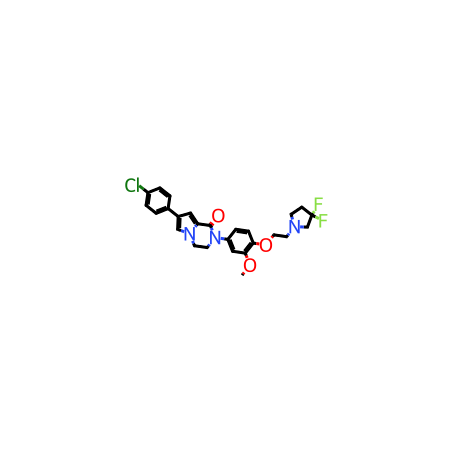 COc1cc(N2CCn3cc(-c4ccc(Cl)cc4)cc3C2=O)ccc1OCCN1CCC(F)(F)C1